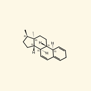 C[C@@H]1CC[C@H]2[C@@H]3C=CC4=CCC=C[C@@H]4[C@H]3CC[C@]12C